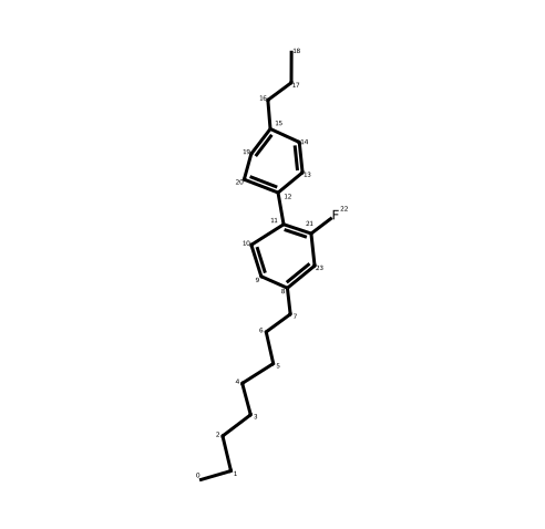 CCCCCCCCc1ccc(-c2ccc(CCC)cc2)c(F)c1